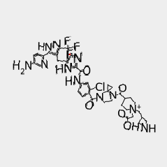 Nc1ccc(-c2[nH]nc(C(F)(F)F)c2Cc2cnc(C(=O)Nc3ccc(C(=O)N4CCN(C(=O)C5CC[N+](CC(=O)O)(CC6CNC6)CC5)C5(CC5)C4)c(Cl)c3)[nH]2)nc1